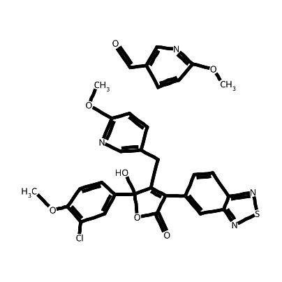 COc1ccc(C=O)cn1.COc1ccc(CC2=C(c3ccc4nsnc4c3)C(=O)OC2(O)c2ccc(OC)c(Cl)c2)cn1